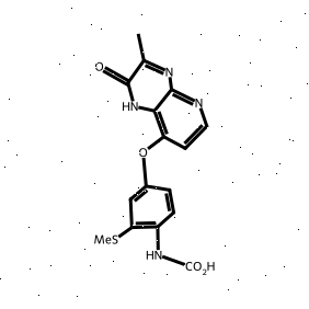 CSc1cc(Oc2ccnc3nc(C)c(=O)[nH]c23)ccc1NC(=O)O